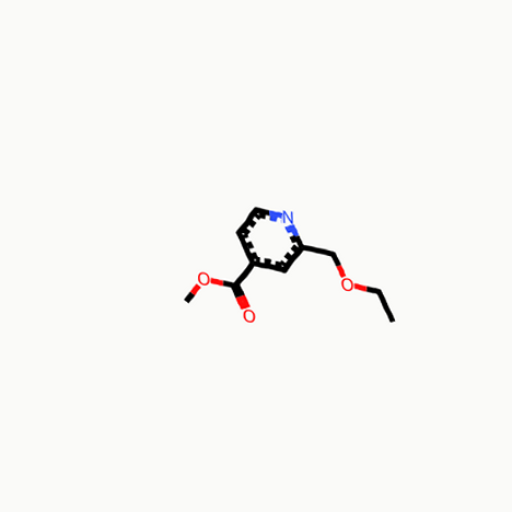 CCOCc1cc(C(=O)OC)ccn1